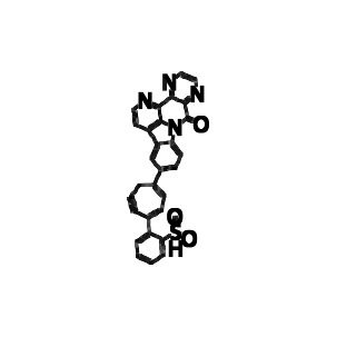 O=c1c2nccnc2c2nccc3c4cc(C5=CC=C(c6ccccc6[SH](=O)=O)C#CC5)ccc4n1c32